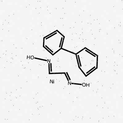 O/N=C/C=N/O.[Ni].c1ccc(-c2ccccc2)cc1